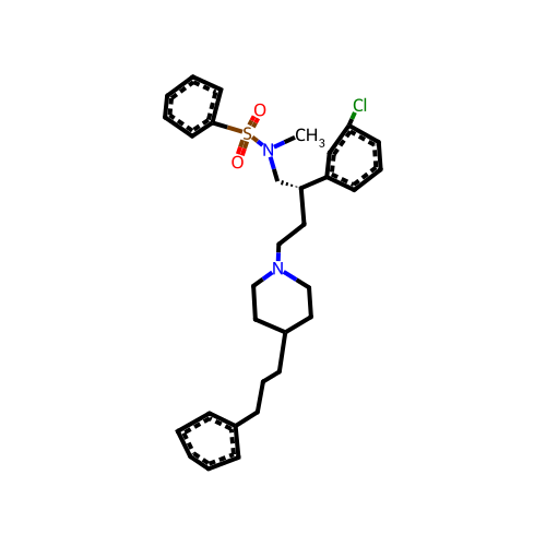 CN(C[C@@H](CCN1CCC(CCCc2ccccc2)CC1)c1cccc(Cl)c1)S(=O)(=O)c1ccccc1